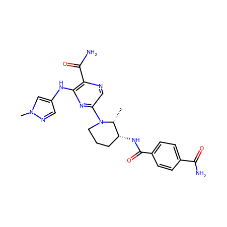 C[C@@H]1[C@H](NC(=O)c2ccc(C(N)=O)cc2)CCCN1c1cnc(C(N)=O)c(Nc2cnn(C)c2)n1